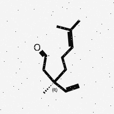 C=C[C@@](C)(C[C]=O)CCC=C(C)C